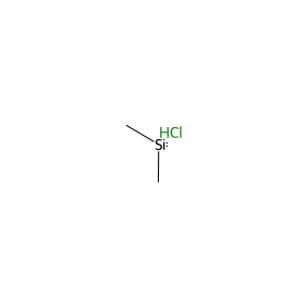 C[Si]C.Cl